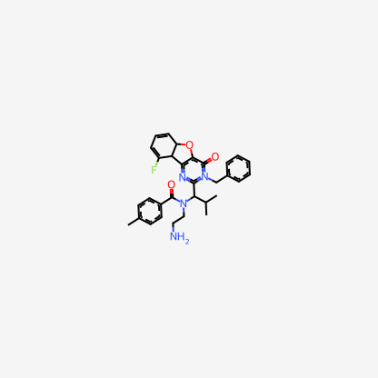 Cc1ccc(C(=O)N(CCN)C(c2nc3c(c(=O)n2Cc2ccccc2)OC2C=CC=C(F)C32)C(C)C)cc1